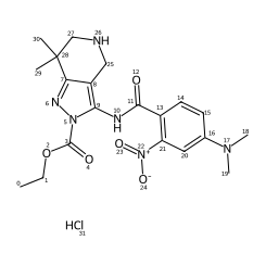 CCOC(=O)n1nc2c(c1NC(=O)c1ccc(N(C)C)cc1[N+](=O)[O-])CNCC2(C)C.Cl